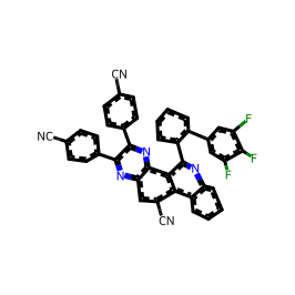 N#Cc1ccc(-c2nc3cc(C#N)c4c5ccccc5nc(-c5ccccc5-c5cc(F)c(F)c(F)c5)c4c3nc2-c2ccc(C#N)cc2)cc1